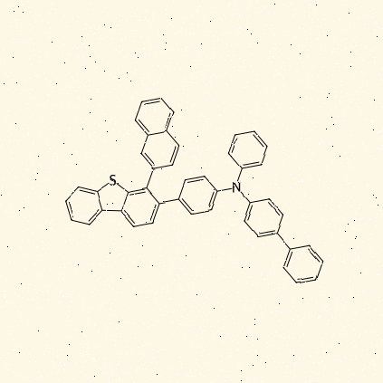 c1ccc(-c2ccc(N(c3ccccc3)c3ccc(-c4ccc5c(sc6ccccc65)c4-c4ccc5ccccc5c4)cc3)cc2)cc1